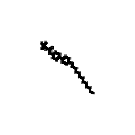 CCCCCCCCCCCCOc1ccc(-c2ccc(OC(=O)C3CC3(C)C)cc2)cc1